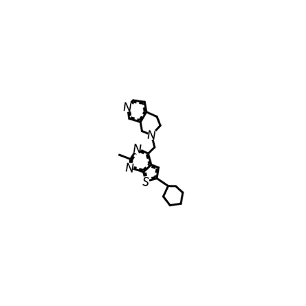 Cc1nc(CN2CCc3ccncc3C2)c2cc(C3CCCCC3)sc2n1